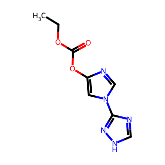 CCOC(=O)Oc1cn(-c2nc[nH]n2)cn1